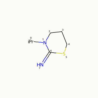 CC(C)N1CCCSC1=N